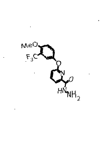 COc1ccc(Oc2cccc(C(=O)NN)n2)cc1C(F)(F)F